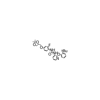 CC1(C)OCC(COc2ccc(NC(=O)Nc3cccnc3Oc3ccccc3C(C)(C)C)c(F)c2)O1